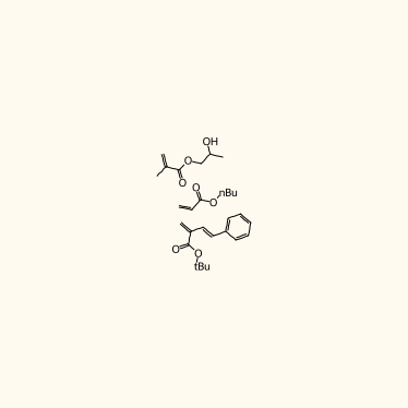 C=C(C)C(=O)OCC(C)O.C=C(C=Cc1ccccc1)C(=O)OC(C)(C)C.C=CC(=O)OCCCC